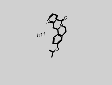 CC(C)Oc1ccc2c(c1)CCN1C(=O)c3cccnc3CC21.Cl